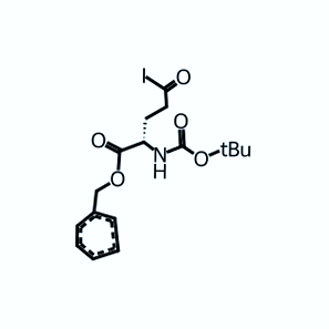 CC(C)(C)OC(=O)N[C@@H](CCC(=O)I)C(=O)OCc1ccccc1